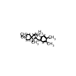 CON1CCC(C#N)(N(C)C(=O)Cc2cc(C)c(C)cc2C)CC1